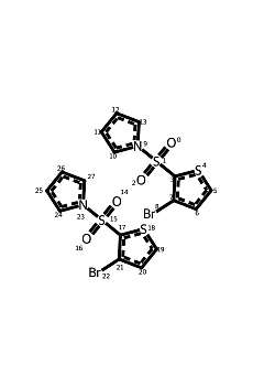 O=S(=O)(c1sccc1Br)n1cccc1.O=S(=O)(c1sccc1Br)n1cccc1